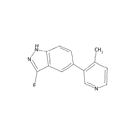 Cc1ccncc1-c1ccc2[nH]nc(F)c2c1